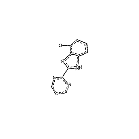 Clc1cccc2[nH]c(-c3ncccn3)nc12